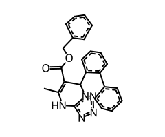 CC1=C(C(=O)OCc2ccccc2)C(c2ccccc2-c2ccccc2)n2nnnc2N1